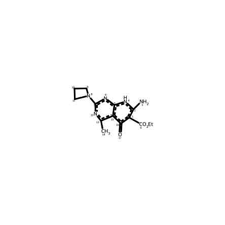 CCOC(=O)c1c(N)[nH]c2nc(N3CCC3)nc(C)c2c1=O